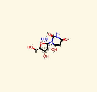 N[C@@]1(n2ccc(=O)[nH]c2=O)O[C@H](CO)[C@@H](O)[C@H]1O